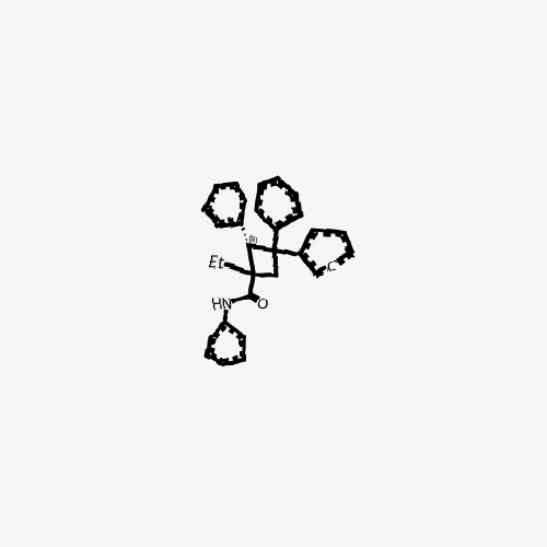 CCC1(C(=O)Nc2ccccc2)CC(c2ccccc2)(c2ccccc2)[C@H]1c1ccccc1